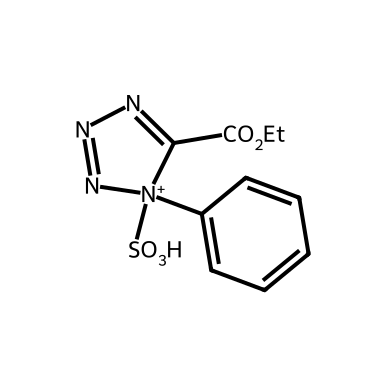 CCOC(=O)C1=NN=N[N+]1(c1ccccc1)S(=O)(=O)O